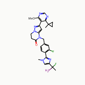 COc1ncnc(C2(C)CC2)c1-c1cc2n(n1)CCC(=O)N2Cc1ccc(-c2nc(C(C)(F)P)cn2C)c(F)c1